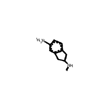 CNC1Cc2ccc(N)cc2C1